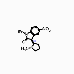 CC(C)N1C(=O)/C(=C2/CCCN2C)c2cc([N+](=O)[O-])ccc21